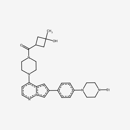 CCN1CCN(c2ccc(-c3cc4c(N5CCN(C(=O)C6CC(C)(O)C6)CC5)ccnn4c3)cc2)CC1